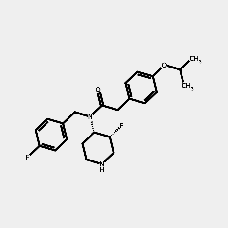 CC(C)Oc1ccc(CC(=O)N(Cc2ccc(F)cc2)[C@H]2CCNC[C@H]2F)cc1